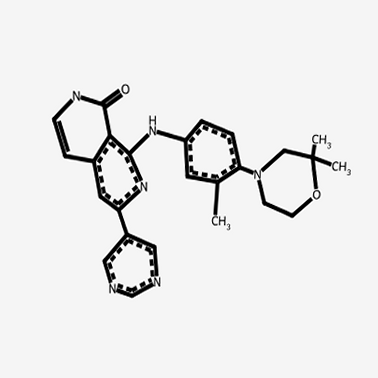 Cc1cc(Nc2nc(-c3cncnc3)cc3c2C(=O)[N]C=C3)ccc1N1CCOC(C)(C)C1